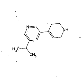 CC(C)c1cncc(C2=CCNCC2)c1